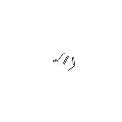 C=C.C=CC.[CH2]CC[CH2]